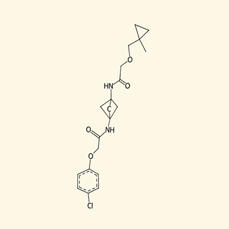 CC1(COCC(=O)NC23CC(NC(=O)COc4ccc(Cl)cc4)(C2)C3)CC1